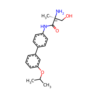 CC(C)Oc1cccc(-c2ccc(NC(=O)[C@@](C)(N)CO)cc2)c1